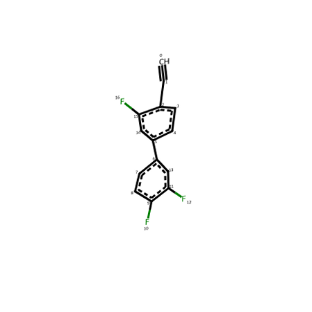 C#Cc1ccc(-c2ccc(F)c(F)c2)cc1F